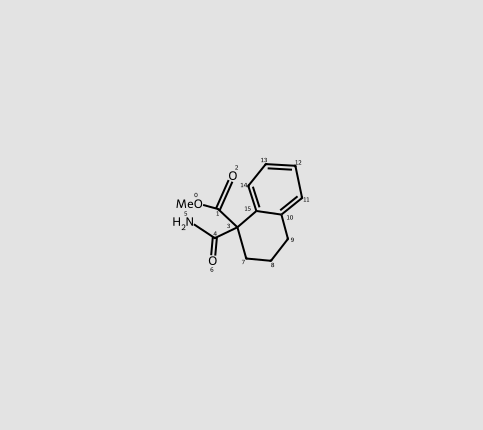 COC(=O)C1(C(N)=O)CCCc2ccccc21